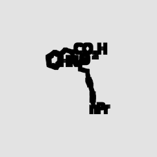 CCCC#CC#CCCC(=O)NC(Cc1ccccc1)C(=O)O